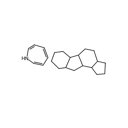 C1=CC=CNC=C1.C1CCC2C(C1)CC1C3CCCC3CCC21